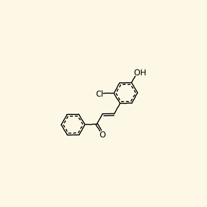 O=C(/C=C/c1ccc(O)cc1Cl)c1ccccc1